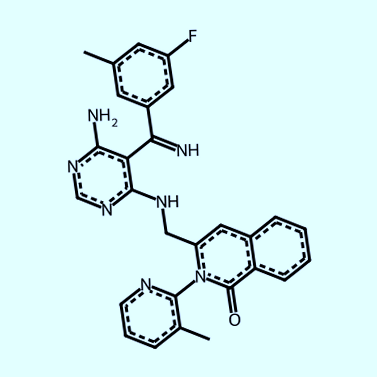 Cc1cc(F)cc(C(=N)c2c(N)ncnc2NCc2cc3ccccc3c(=O)n2-c2ncccc2C)c1